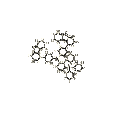 c1ccc(C2(c3ccccc3)c3ccccc3-c3c(N(c4ccc(-c5cccc6sc7ccccc7c56)cc4)c4ccc(-c5cccc6sc7ccccc7c56)cc4)cccc32)cc1